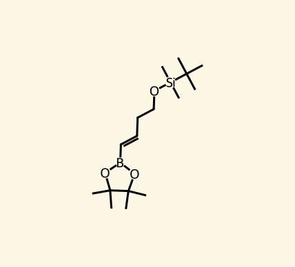 CC1(C)OB(/C=C/CCO[Si](C)(C)C(C)(C)C)OC1(C)C